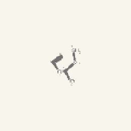 C=COC(C)=O.CC(C)CO[SiH3]